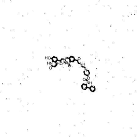 O=C(Nc1ccccc1-c1ccccc1)OC1CCN(CCNCC(=O)c2ccc(CNC[C@H](O)c3ccc(O)c4[nH]c(=O)ccc34)c([N+](=O)[O-])c2)CC1